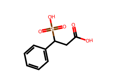 O=C(O)CC(c1ccccc1)S(=O)(=O)O